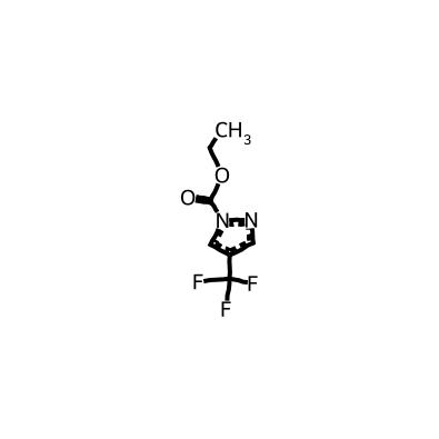 CCOC(=O)n1cc(C(F)(F)F)cn1